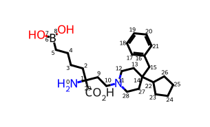 NC(CCCCB(O)O)(CCN1CCC(Cc2ccccc2)(C2CCCC2)CC1)C(=O)O